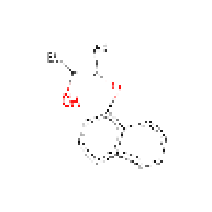 CCC(O)C(CC)Oc1cccc2ccccc12